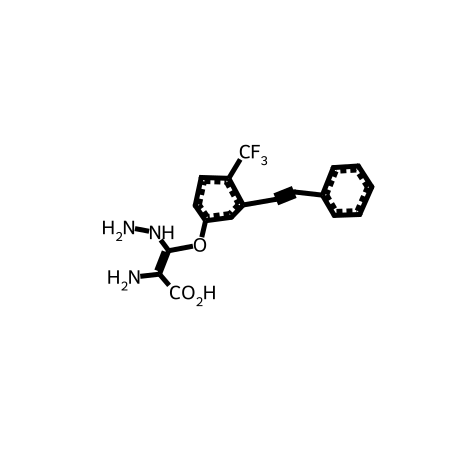 NN/C(Oc1ccc(C(F)(F)F)c(C#Cc2ccccc2)c1)=C(\N)C(=O)O